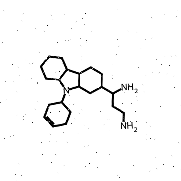 NCCC(N)C1CCC2C3CCCCC3N(C3CC=CCC3)C2C1